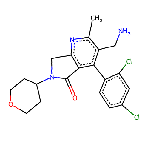 Cc1nc2c(c(-c3ccc(Cl)cc3Cl)c1CN)C(=O)N(C1CCOCC1)C2